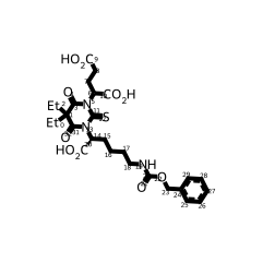 CCC1(CC)C(=O)N(C(CCC(=O)O)C(=O)O)C(=S)N([C@@H](CCCCNC(=O)OCc2ccccc2)C(=O)O)C1=O